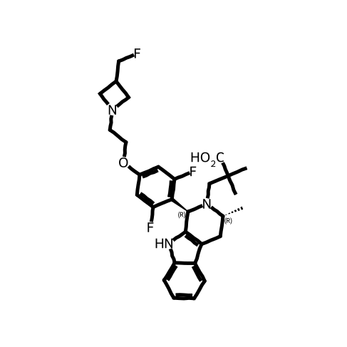 C[C@@H]1Cc2c([nH]c3ccccc23)[C@@H](c2c(F)cc(OCCN3CC(CF)C3)cc2F)N1CC(C)(C)C(=O)O